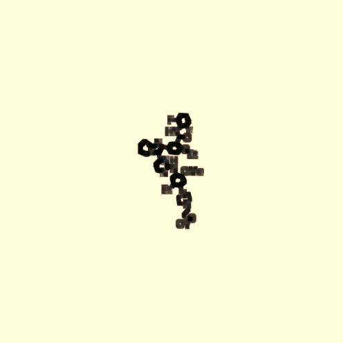 CCOc1ccc(-c2nc3ccccn3c2-c2ccnc(Nc3cc(CC)c(N4CCN(CCS(C)(=O)=O)CC4)cc3OC)n2)cc1C(=O)Nc1c(F)cccc1F